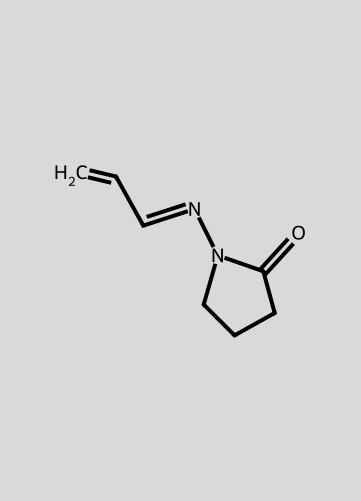 C=CC=NN1CCCC1=O